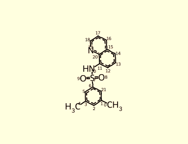 Cc1cc(C)cc(S(=O)(=O)Nc2cccc3cccnc23)c1